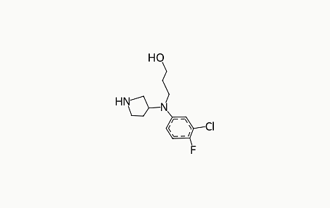 OCCCN(c1ccc(F)c(Cl)c1)C1CCNC1